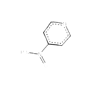 N[N+](=O)c1c[c]ncc1